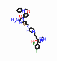 Nc1nc2sc(CNC3CCN(CCCCCC(O)(Cn4cncn4)c4ccc(F)cc4F)CC3)cc2n(-c2ccc3c(c2)N(c2ccccc2)CCO3)c1=O